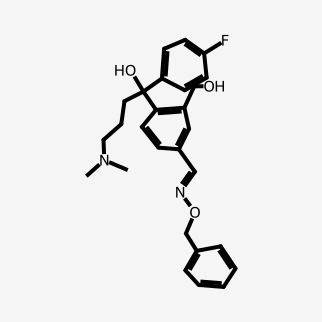 CN(C)CCCC(O)(c1ccc(F)cc1)c1ccc(C=NOCc2ccccc2)cc1CO